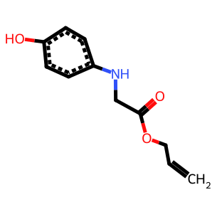 C=CCOC(=O)CNc1ccc(O)cc1